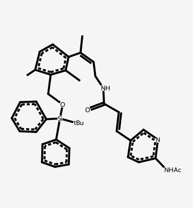 CC(=O)Nc1ccc(/C=C/C(=O)NC/C=C(/C)c2ccc(C)c(CO[Si](c3ccccc3)(c3ccccc3)C(C)(C)C)c2C)cn1